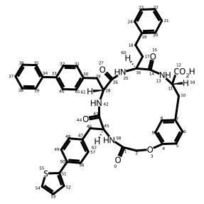 O=C1COc2ccc(cc2)C[C@@H](C(=O)O)NC(=O)[C@H](CCc2ccccc2)NC(=O)[C@@H](Cc2ccc(-c3ccccc3)cc2)NC(=O)[C@H](Cc2ccc(-c3cccs3)cc2)N1